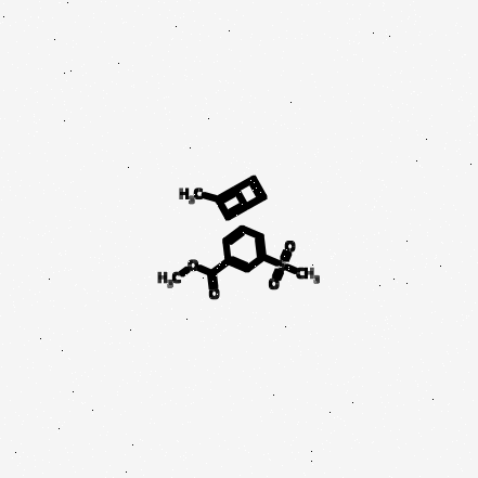 COC(=O)c1cccc(S(C)(=O)=O)c1.Cc1cc2ccc1-2